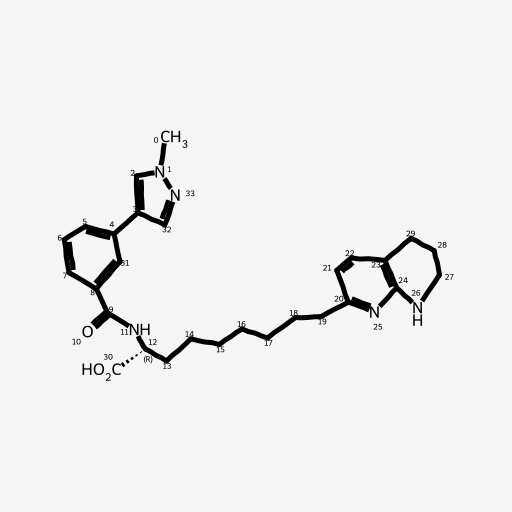 Cn1cc(-c2cccc(C(=O)N[C@H](CCCCCCCc3ccc4c(n3)NCCC4)C(=O)O)c2)cn1